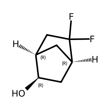 O[C@@H]1C[C@H]2C[C@@H]1CC2(F)F